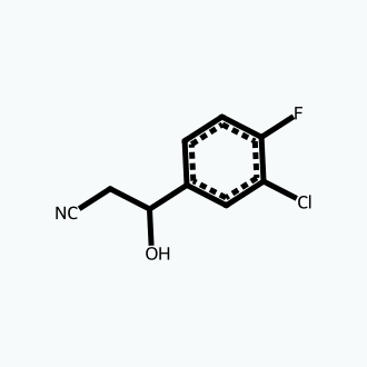 N#CCC(O)c1ccc(F)c(Cl)c1